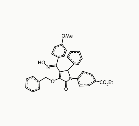 CCOC(=O)c1ccc(N2C(=O)C(OCc3ccccc3)=C(C(=NO)c3ccc(OC)cc3)C2c2ccccc2)cc1